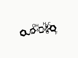 Cc1ccc(F)cc1S(=O)(=O)N1CCN([C@@H]2CN(Cc3ccccc3)C[C@H]2O)CC1